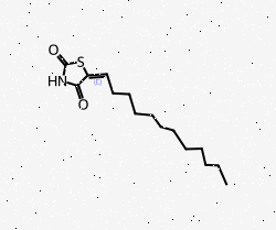 CCCCCCCCCCC/C=C1/SC(=O)NC1=O